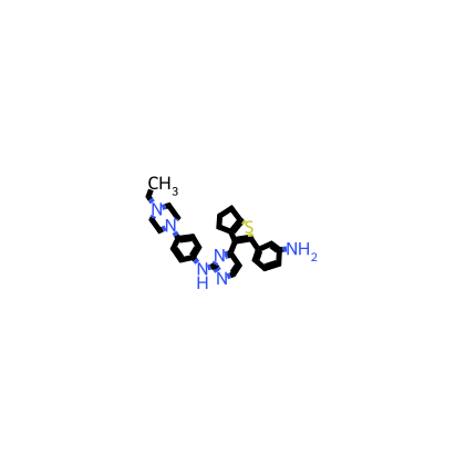 CCN1CCN(c2ccc(Nc3nccc(-c4c(-c5cccc(N)c5)sc5c4CCC5)n3)cc2)CC1